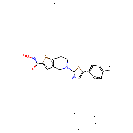 Cc1ccc(-c2cnc(N3CCc4sc(C(=O)NO)cc4C3)s2)cc1